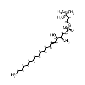 CCCCCCCCCCCCCC=CC(O)C(N)COP(=O)([O-])OCC[N+](C)(C)C